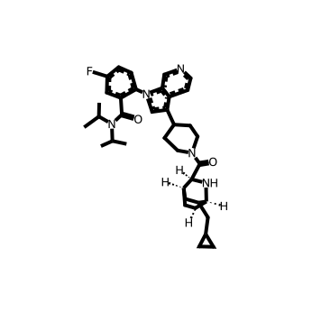 CC(C)N(C(=O)c1cc(F)ccc1-n1cc(C2CCN(C(=O)[C@H]3N[C@H]4CC[C@@H]3C[C@@H]4CC3CC3)CC2)c2ccncc21)C(C)C